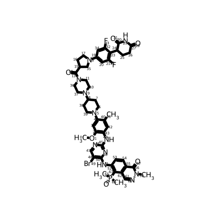 COc1cc(N2CCC(N3CCN(C(=O)C4CCN(c5cc(F)c(C6CCC(=O)NC6=O)c(F)c5)C4)CC3)CC2)c(C)cc1Nc1ncc(Br)c(Nc2ccc3c(=O)n(C)ncc3c2P(C)(C)=O)n1